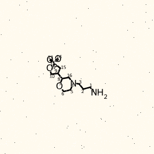 NCCCN1CCOC(C2COS(=O)(=O)C2)C1